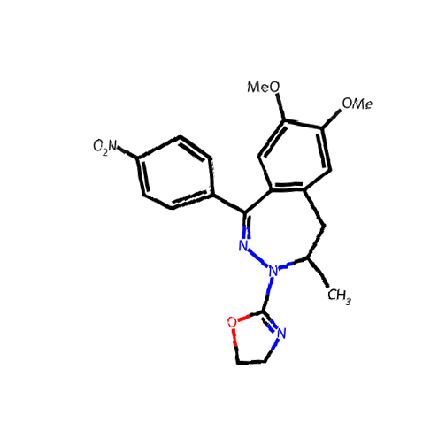 COc1cc2c(cc1OC)C(c1ccc([N+](=O)[O-])cc1)=NN(C1=NCCO1)C(C)C2